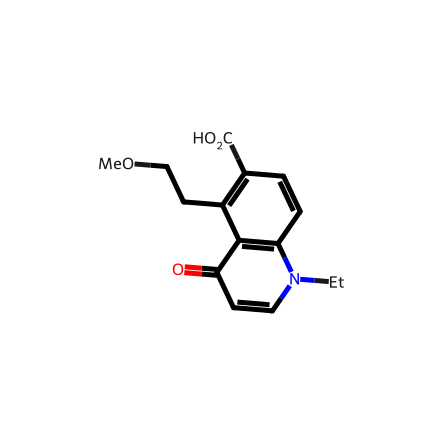 CCn1ccc(=O)c2c(CCOC)c(C(=O)O)ccc21